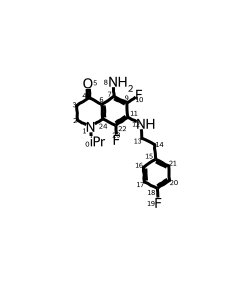 CC(C)N1CCC(=O)c2c(N)c(F)c(NCCc3ccc(F)cc3)c(F)c21